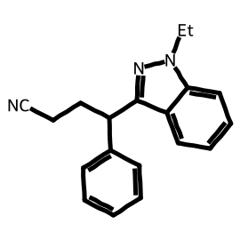 CCn1nc(C(CCC#N)c2ccccc2)c2ccccc21